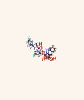 CC(C)(CC(C#N)C(=O)N1C[C@@H](F)C[C@]1(C)COC(=O)N[C@@H](Cc1ccccc1)B(O)O)N1CC[C@H](F)C1